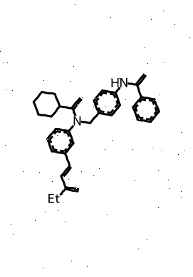 C=C(/C=C/c1cccc(N(Cc2ccc(NC(=C)c3ccccc3)cc2)C(=C)C2CCCCC2)c1)CC